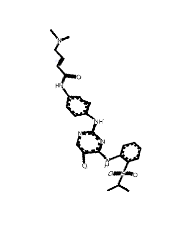 CC(C)S(=O)(=O)c1ccccc1Nc1nc(Nc2ccc(NC(=O)/C=C/CN(C)C)cc2)ncc1Cl